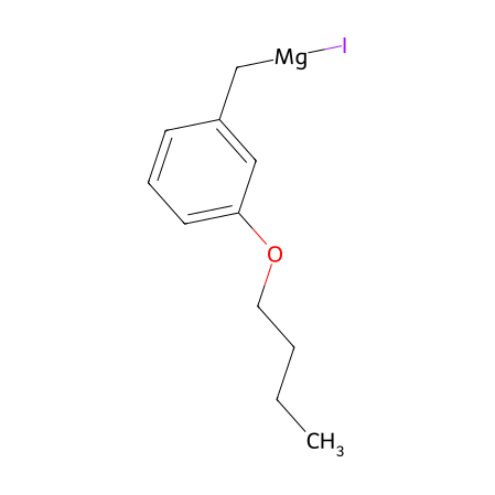 CCCCOc1cccc([CH2][Mg][I])c1